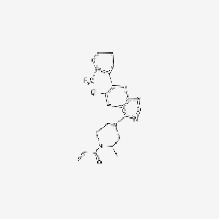 C=CC(=O)N1CCN(c2ncnc3cc(-c4ccccc4C(F)(F)F)c(Cl)cc23)CC1C